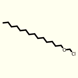 CCCCCCCCCCCCCCOCCl